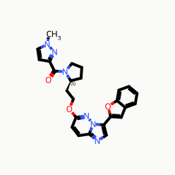 Cn1ccc(C(=O)N2CCC[C@H]2CCOc2ccc3ncc(-c4cc5ccccc5o4)n3n2)n1